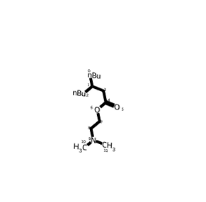 CCCCC(CCCC)CC(=O)OCCN(C)C